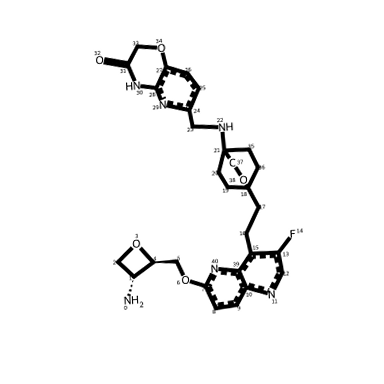 N[C@@H]1CO[C@H]1COc1ccc2ncc(F)c(CCC34CCC(NCc5ccc6c(n5)NC(=O)CO6)(CC3)CO4)c2n1